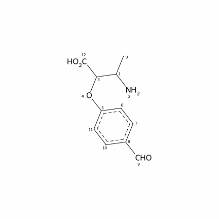 CC(N)C(Oc1ccc(C=O)cc1)C(=O)O